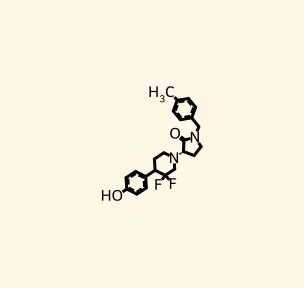 Cc1ccc(CN2CC[C@H](N3CCC(c4ccc(O)cc4)C(F)(F)C3)C2=O)cc1